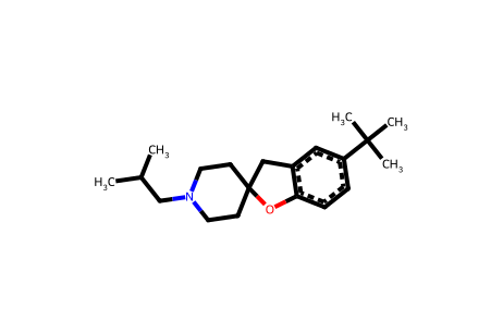 CC(C)CN1CCC2(CC1)Cc1cc(C(C)(C)C)ccc1O2